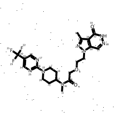 Cc1nn(CCOCC(=O)N(C)C2CCN(c3ncc(C(F)(F)F)cn3)CC2)c2cn[nH]c(=O)c12